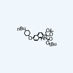 CCCC[C@H]1CC[C@@H](Oc2ccc3cc(C4(NC(=O)OC(C)(C)C)COC(C)(C)OC4)ccc3c2)CC1